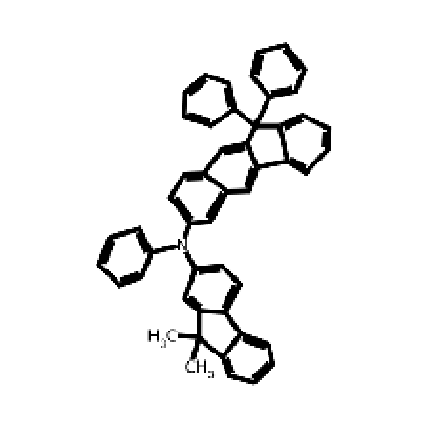 CC1(C)c2ccccc2-c2ccc(N(c3ccccc3)c3ccc4cc5c(cc4c3)-c3ccccc3C5(c3ccccc3)c3ccccc3)cc21